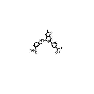 Cc1cc2c(NCc3cccc([N+](=O)[O-])c3)nc(-c3ccc(C(=O)O)cc3)nc2s1